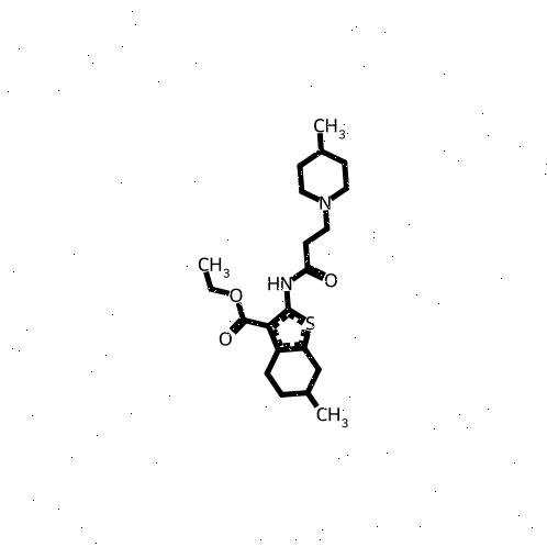 CCOC(=O)c1c(NC(=O)CCN2CCC(C)CC2)sc2c1CCC(C)C2